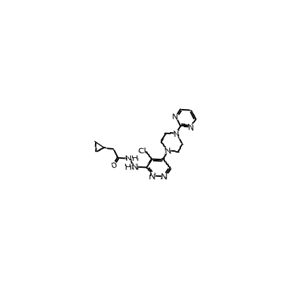 O=C(CC1CC1)NNc1nncc(N2CCN(c3ncccn3)CC2)c1Cl